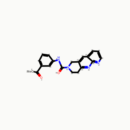 COC(=O)c1cccc(NC(=O)N2CCc3nc4ncccc4cc3C2)c1